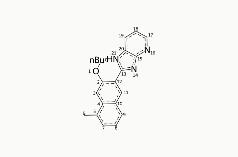 CCCCOc1cc2c(C)cccc2cc1-c1nc2ncccc2[nH]1